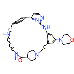 CN1CCCNC(=O)C2CCN(CC2)Cc2cc(cc(N3CCOCC3)c2)Nc2nccc(n2)-c2ccc(cc2)C1